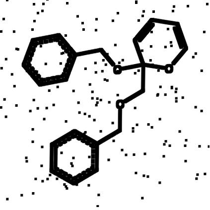 C1=COC(COCc2ccccc2)(OCc2ccccc2)C=C1